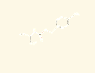 CCCC[C@H](NC(=O)OCc1ccc([N+](=O)[O-])cc1)C(=O)O